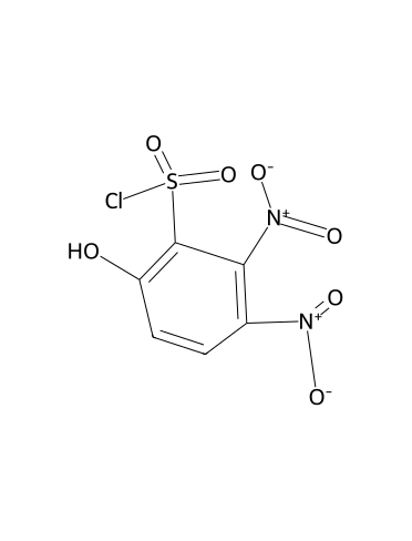 O=[N+]([O-])c1ccc(O)c(S(=O)(=O)Cl)c1[N+](=O)[O-]